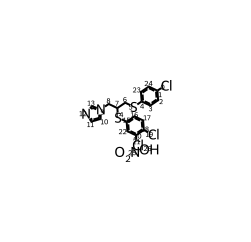 Clc1ccc(SCC(Cn2ccnc2)Sc2ccc(Cl)c(Cl)c2)cc1.O=[N+]([O-])O